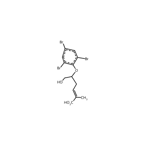 CC(=CCC(CO)Oc1c(Br)cc(Br)cc1Br)C(=O)O